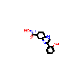 O=C(NO)c1ccc2ncc(-c3ccccc3O)nc2c1